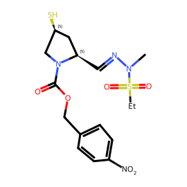 CCS(=O)(=O)N(C)N=C[C@@H]1C[C@H](S)CN1C(=O)OCc1ccc([N+](=O)[O-])cc1